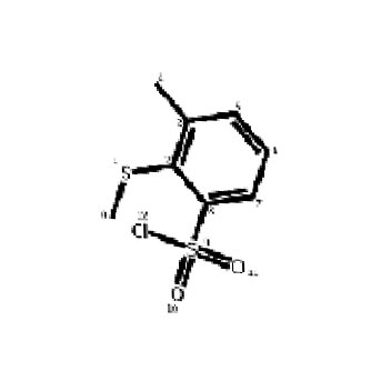 CSc1c(C)cccc1S(=O)(=O)Cl